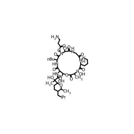 CCCCC1NC(=O)C(NC(=O)C(C)(O)C2(O)CCC(CC(C)C)C(C)O2)C(C(C)C)OC(=O)C(C)N(O)C(=O)C2CCCNN2C(=O)CNC(=O)C(C)N(OC(=O)CCN)C1=O